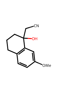 COc1ccc2c(c1)C(O)(CC#N)CCC2